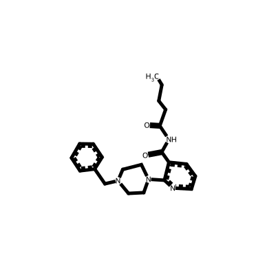 CCCCC(=O)NC(=O)c1cccnc1N1CCN(Cc2ccccc2)CC1